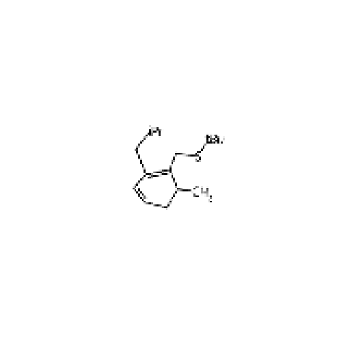 CC(C)CC1=C(CSC(C)(C)C)C(C)CC=C1